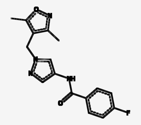 Cc1noc(C)c1Cn1cc(NC(=O)c2ccc(F)cc2)cn1